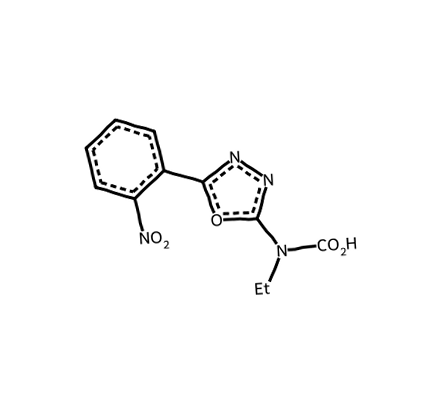 CCN(C(=O)O)c1nnc(-c2ccccc2[N+](=O)[O-])o1